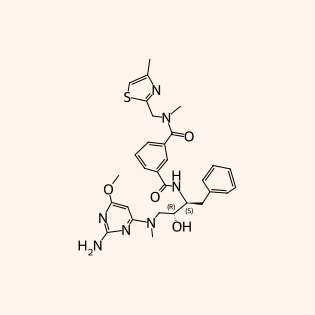 COc1cc(N(C)C[C@@H](O)[C@H](Cc2ccccc2)NC(=O)c2cccc(C(=O)N(C)Cc3nc(C)cs3)c2)nc(N)n1